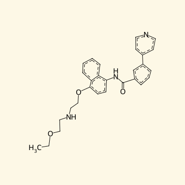 CCOCCNCCOc1ccc(NC(=O)c2cccc(-c3ccncc3)c2)c2ccccc12